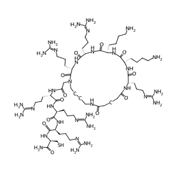 NCCCC[C@@H]1NC(=O)[C@H](CCCN=C(N)N)NC(=O)CCCC(=O)NCCCCN(CC(=O)N[C@@H](CCCN=C(N)N)C(=O)N[C@@H](CCCN=C(N)N)C(=O)N[C@@H](CCCN=C(N)N)C(=O)N[C@@H](CS)C(N)=O)C(=O)[C@H](CCCN=C(N)N)NC(=O)[C@H](CCCN=C(N)N)NC(=O)[C@H](CCCCN)NC1=O